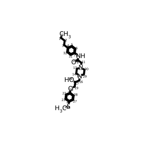 CCCCc1ccc(NC(=O)CN2CCN(CC(O)COc3ccc(SC)cc3)CC2)cc1